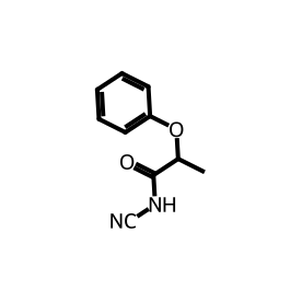 CC(Oc1ccccc1)C(=O)NC#N